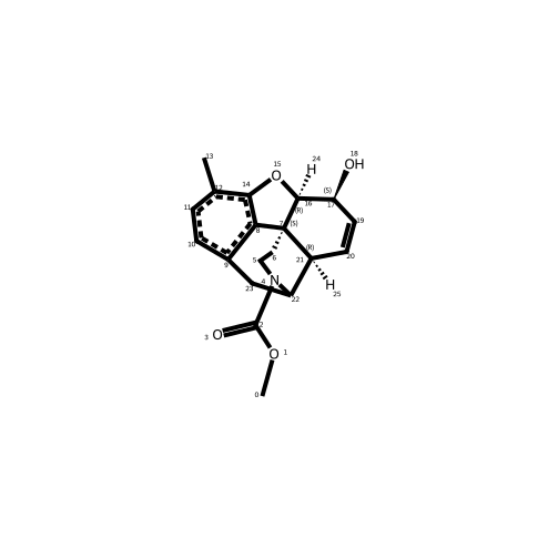 COC(=O)N1CC[C@]23c4c5ccc(C)c4O[C@H]2[C@@H](O)C=C[C@H]3C1C5